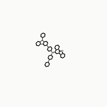 c1ccc(-c2ccc(N(c3ccc(-c4ccc5c(c4)-c4ccccc4C5c4ccccc4)cc3)c3cc4c5ccccc5oc4c4ccccc34)cc2)cc1